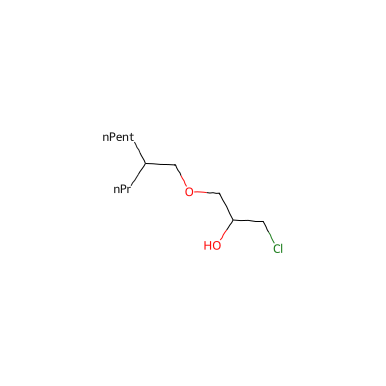 CCCCCC(CCC)COCC(O)CCl